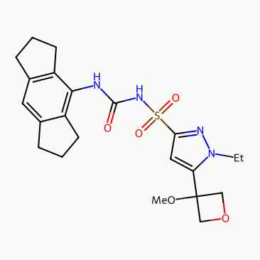 CCn1nc(S(=O)(=O)NC(=O)Nc2c3c(cc4c2CCC4)CCC3)cc1C1(OC)COC1